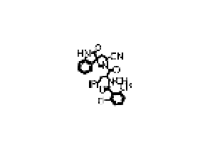 CC(C)C[C@@H](C(=O)N1C[C@]2(C[C@H]1C#N)C(=O)Nc1ccccc12)N(C)C(=O)c1c(Cl)cccc1Cl